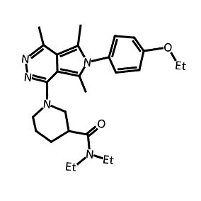 CCOc1ccc(-n2c(C)c3c(C)nnc(N4CCCC(C(=O)N(CC)CC)C4)c3c2C)cc1